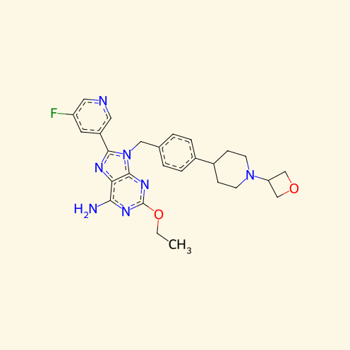 CCOc1nc(N)c2nc(-c3cncc(F)c3)n(Cc3ccc(C4CCN(C5COC5)CC4)cc3)c2n1